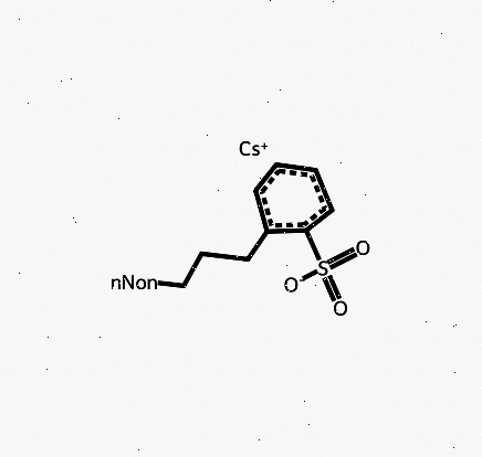 CCCCCCCCCCCCc1ccccc1S(=O)(=O)[O-].[Cs+]